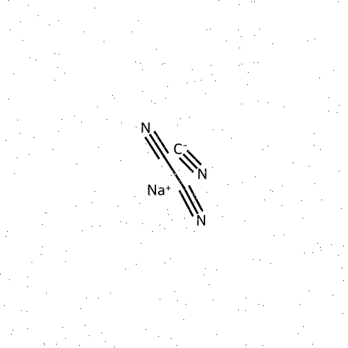 N#CC#N.[C-]#N.[Na+]